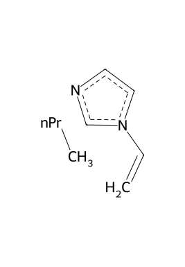 C=Cn1ccnc1.CCCC